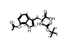 CC(=O)Oc1cccc2c(C[C@H](NC(=O)OC(C)(C)C)C(=O)O)c[nH]c12